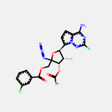 CC(C)C(=O)O[C@H]1[C@@H](F)[C@H](c2ccc3c(N)nc(F)nn23)OC1(COC(=O)c1cccc(Cl)c1)N=[N+]=[N-]